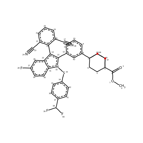 COC(=O)C12CCC(c3cccc(-c4c(-c5c(C#N)cccc5C#N)c5cc(F)ccc5n4Sc4ccc(C(F)F)cc4)c3)(CC1)CC2